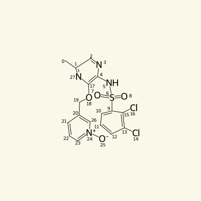 Cc1cnc(NS(=O)(=O)c2cccc(Cl)c2Cl)c(OCc2ccc[n+]([O-])c2)n1